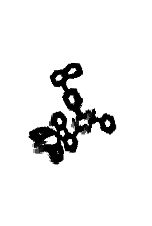 c1ccc(-c2nc(-c3ccc(-c4cccc5ccccc45)cc3)nc(-c3cccc4c3-c3ccccc3C43c4ccccc4Sc4ccccc43)n2)cc1